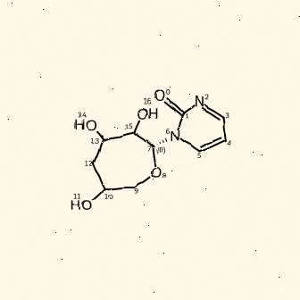 O=c1ncccn1[C@@H]1OCC(O)CC(O)C1O